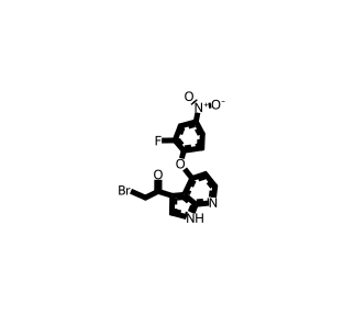 O=C(CBr)c1c[nH]c2nccc(Oc3ccc([N+](=O)[O-])cc3F)c12